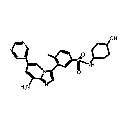 Cc1ccc(S(=O)(=O)NC2CCC(O)CC2)cc1-c1cnc2c(N)cc(-c3cncnc3)cn12